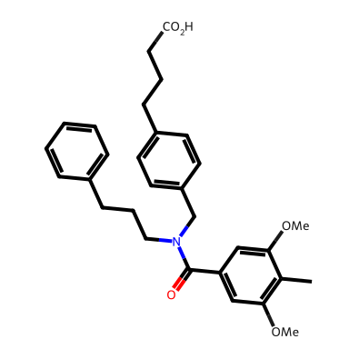 COc1cc(C(=O)N(CCCc2ccccc2)Cc2ccc(CCCC(=O)O)cc2)cc(OC)c1C